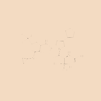 CC(F)(F)CCC(NC(=O)[C@@H]1CC(C2CCCC2)CN1C(=O)[C@@H](NC(=O)O)C(C)(C)C)C(=O)C(=O)NC1CC1